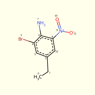 CCc1cc(Br)c(N)c([N+](=O)[O-])c1